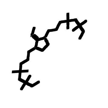 CCC(C)(C)CC(C)(C)CCCN1CCN(CCCC(C)(C)CC(C)(C)CC)C1=NC